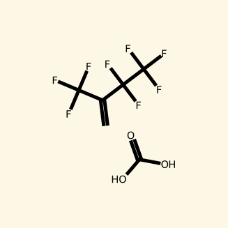 C=C(C(F)(F)F)C(F)(F)C(F)(F)F.O=C(O)O